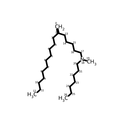 C=C(CCCCCCCCCCC)CCCCCN(C)CCCCCCC